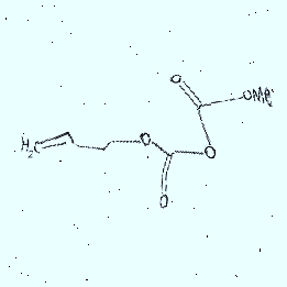 C=CCOC(=O)OC(=O)OC